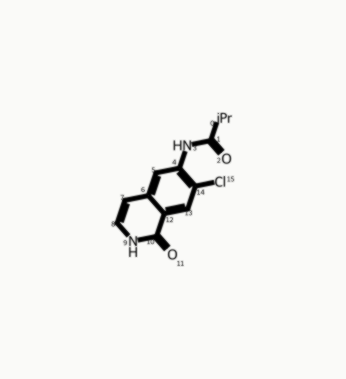 CC(C)C(=O)Nc1cc2cc[nH]c(=O)c2cc1Cl